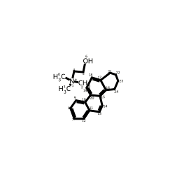 C[N+](C)(C)CCO.c1ccc2c(c1)ccc1c3c(ccc12)CCCC3